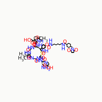 CC[C@H](C)[C@@H]1NC(=O)CNC(=O)[C@H](NC(=O)[C@@H](NC(C)=O)[C@@H](C)[C@@H](O)CO)Cc2c([nH]c3cc(OC(=O)NCCCCCCNC(=O)C4CCC(CN5C(=O)C=CC5=O)CC4)ccc23)[S+]([O-])C[C@@H](C(=O)N[C@@H](CC(N)=O)C(=O)N2CC[C@@H](O)C2)NC(=O)CNC1=O